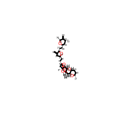 C=C1C[C@H](CC[C@@]23C[C@]4(C)O[C@H]5[C@@H](O2)[C@H]2O[C@@H](C)CC[C@@H]2O[C@H]5C4O3)O[C@H]1CC[C@H]1C[C@@H](C)C(=C)[C@@H](C)O1